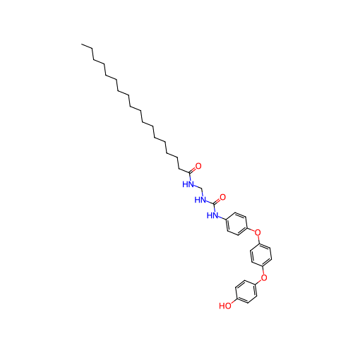 CCCCCCCCCCCCCCCCCC(=O)NCNC(=O)Nc1ccc(Oc2ccc(Oc3ccc(O)cc3)cc2)cc1